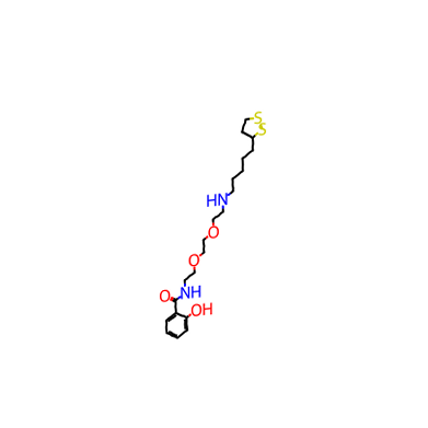 O=C(NCCOCCOCCNCCCCCC1CCSS1)c1ccccc1O